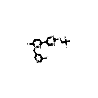 CC(F)(F)COc1ncc(-c2ccc(=O)n(Cc3cncc(F)c3)n2)cn1